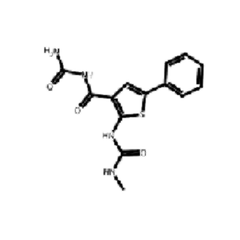 CNC(=O)Nc1sc(-c2ccccc2)cc1C(=O)NC(N)=O